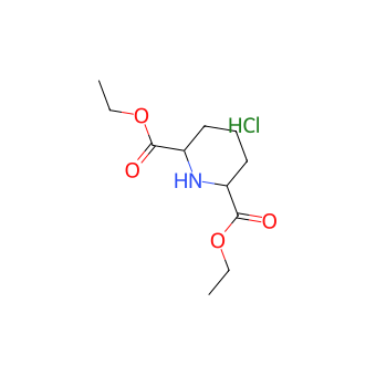 CCOC(=O)C1CCCC(C(=O)OCC)N1.Cl